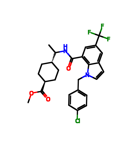 COC(=O)[C@H]1CC[C@H](C(C)NC(=O)c2cc(C(F)(F)F)cc3ccn(Cc4ccc(Cl)cc4)c23)CC1